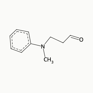 CN(CCC=O)c1ccccc1